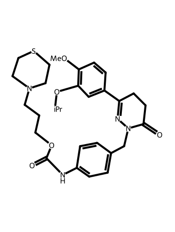 COc1ccc(C2=NN(Cc3ccc(NC(=O)OCCCN4CCSCC4)cc3)C(=O)CC2)cc1OC(C)C